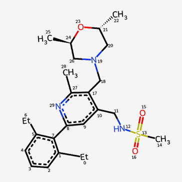 CCc1cccc(CC)c1-c1cc(CNS(C)(=O)=O)c(CN2C[C@@H](C)O[C@H](C)C2)c(C)n1